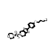 O=S(=O)(N1CCOCC1)N1CCc2nc(-c3ccc(OCCCCl)cc3)sc2C1